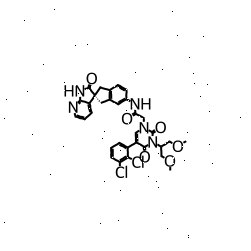 COCC(COC)n1c(=O)c(-c2cccc(Cl)c2Cl)cn(CC(=O)Nc2ccc3c(c2)C[C@@]2(C3)C(=O)Nc3ncccc32)c1=O